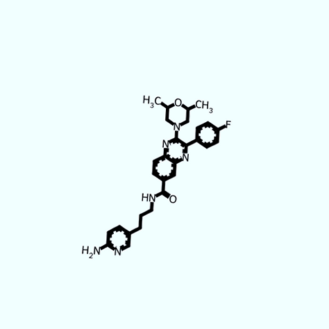 CC1CN(c2nc3ccc(C(=O)NCCCc4ccc(N)nc4)cc3nc2-c2ccc(F)cc2)CC(C)O1